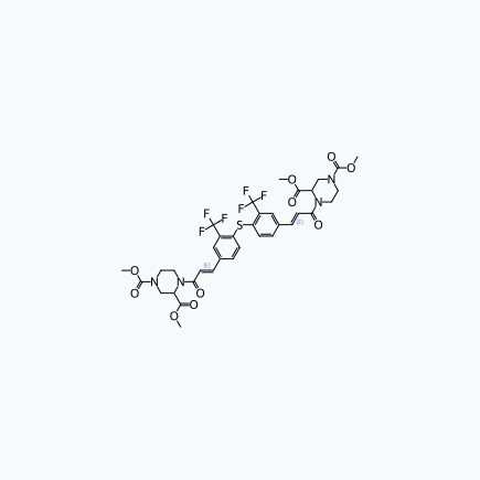 COC(=O)C1CN(C(=O)OC)CCN1C(=O)/C=C/c1ccc(Sc2ccc(/C=C/C(=O)N3CCN(C(=O)OC)CC3C(=O)OC)cc2C(F)(F)F)c(C(F)(F)F)c1